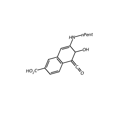 CCCCCNC1=Cc2cc(C(=O)O)ccc2C(=C=O)C1O